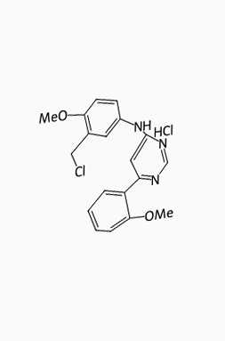 COc1ccc(Nc2cc(-c3ccccc3OC)ncn2)cc1CCl.Cl